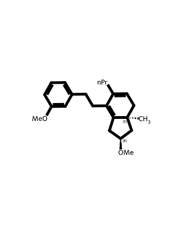 CCCC1=CC[C@@]2(C)C[C@@H](OC)CC2=C1CCc1cccc(OC)c1